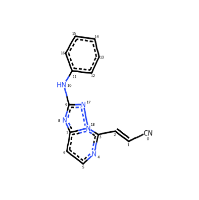 N#CC=Cc1nccc2nc(Nc3ccccc3)nn12